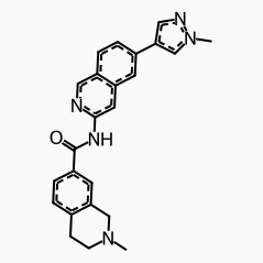 CN1CCc2ccc(C(=O)Nc3cc4cc(-c5cnn(C)c5)ccc4cn3)cc2C1